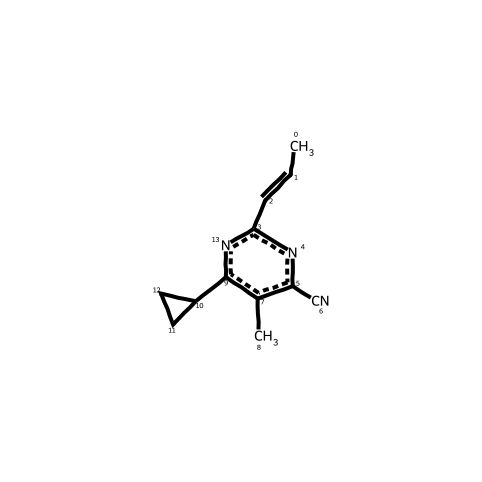 C/C=C/c1nc(C#N)c(C)c(C2CC2)n1